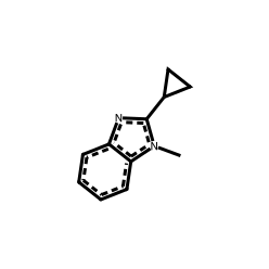 Cn1c(C2CC2)nc2ccccc21